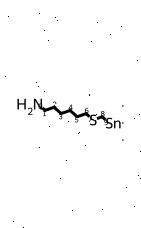 NCCCCCCS[CH2][Sn]